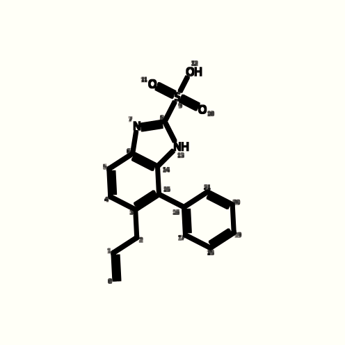 C=CCc1ccc2nc(S(=O)(=O)O)[nH]c2c1-c1ccccc1